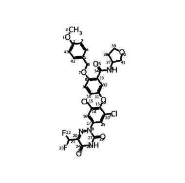 COc1ccc(COc2ccc(Oc3c(Cl)cc(-n4nc(C(F)F)c(=O)[nH]c4=O)cc3Cl)cc2C(=O)NC2CCOC2)cc1